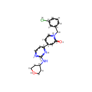 O=c1cc(-c2ccnc(NC3CCOCC3)n2)ccn1Cc1cccc(Cl)c1